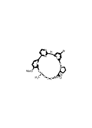 COc1ccc2cc1CN(C)CCCNC(=O)[C@@H]1CCCN1Cc1cc(Br)cc(c1)Nc1nccc-2n1